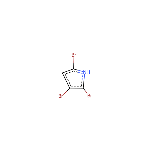 Brc1cc(Br)c(Br)[nH]1